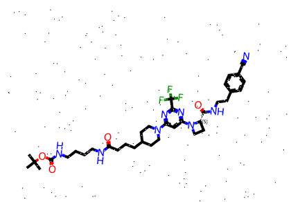 CC(C)(C)OC(=O)NCCCCNC(=O)CCCC1CCN(c2cc(N3CC[C@H]3C(=O)NCCc3ccc(C#N)cc3)nc(C(F)(F)F)n2)CC1